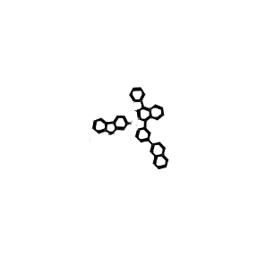 CC1(C)c2ccccc2-c2ccc(-n3c4ccc(-c5ccc6ccccc6c5)cc4c4c5ccccc5c5c6ccccc6sc5c43)cc21